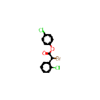 O=C(Oc1ccc(Cl)cc1)C(Br)c1ccccc1Cl